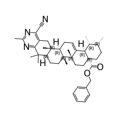 Cc1nc(C#N)c2c(n1)C(C)(C)[C@@H]1CC[C@]3(C)[C@H](CC=C4[C@H]5[C@H](C)[C@H](C)CC[C@@]5(C(=O)OCc5ccccc5)CC[C@@]43C)[C@@]1(C)C2